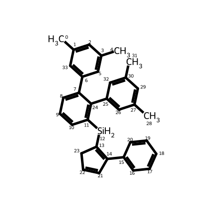 Cc1cc(C)cc(-c2cccc([SiH2]C3=C(c4ccccc4)C=CC3)c2-c2cc(C)cc(C)c2)c1